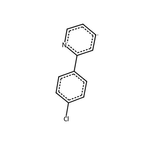 Clc1ccc(-c2c[c]ccn2)cc1